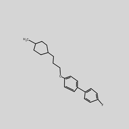 CC1CCC(CCCOc2ccc(-c3ccc(F)cc3)cc2)CC1